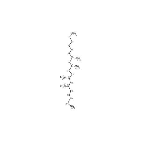 NCCCCCC(N)CC(N)CCC(N)CC(N)CCCCN